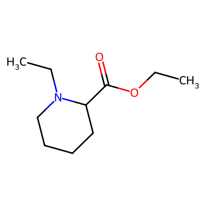 CCOC(=O)C1CCCCN1CC